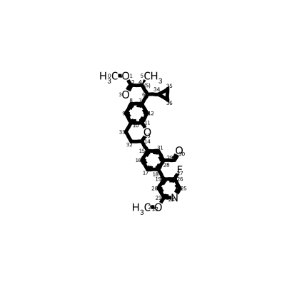 COC(=O)[C@@H](C)C(c1ccc2c(c1)OC(c1ccc(-c3cc(OC)ncc3F)c(C=O)c1)CC2)C1CC1